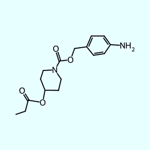 CCC(=O)OC1CCN(C(=O)OCc2ccc(N)cc2)CC1